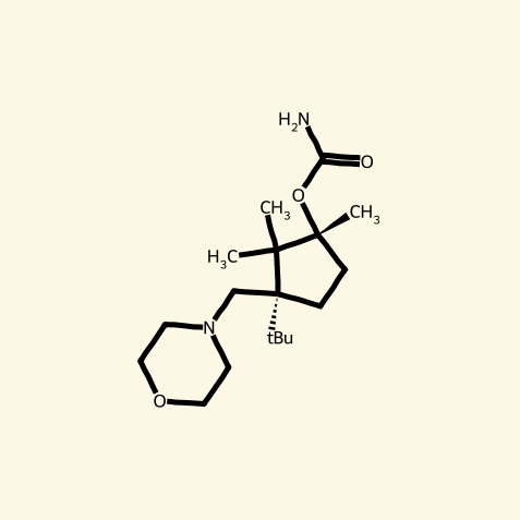 CC(C)(C)[C@@]1(CN2CCOCC2)CC[C@@](C)(OC(N)=O)C1(C)C